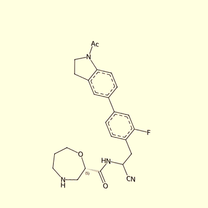 CC(=O)N1CCc2cc(-c3ccc(CC(C#N)NC(=O)[C@@H]4CNCCCO4)c(F)c3)ccc21